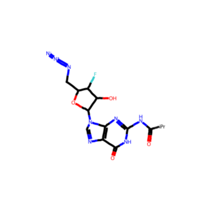 CC(C)C(=O)Nc1nc2c(ncn2C2OC(CN=[N+]=[N-])C(F)C2O)c(=O)[nH]1